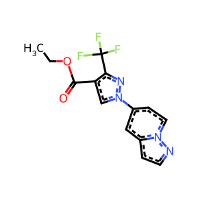 CCOC(=O)c1cn(-c2ccn3nccc3c2)nc1C(F)(F)F